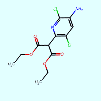 CCOC(=O)C(C(=O)OCC)c1nc(Cl)c(N)cc1Cl